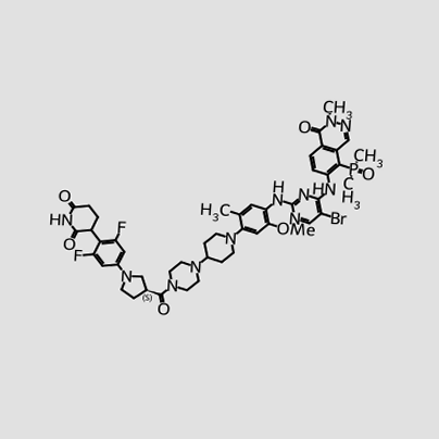 COc1cc(N2CCC(N3CCN(C(=O)[C@H]4CCN(c5cc(F)c(C6CCC(=O)NC6=O)c(F)c5)C4)CC3)CC2)c(C)cc1Nc1ncc(Br)c(Nc2ccc3c(=O)n(C)ncc3c2P(C)(C)=O)n1